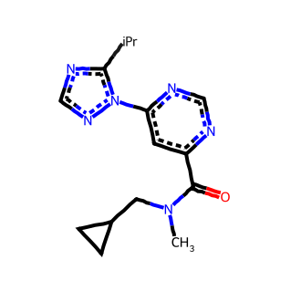 CC(C)c1ncnn1-c1cc(C(=O)N(C)CC2CC2)ncn1